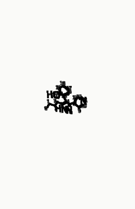 CCCCc1[nH]nc(-c2ccncc2)c1-c1ccccc1O